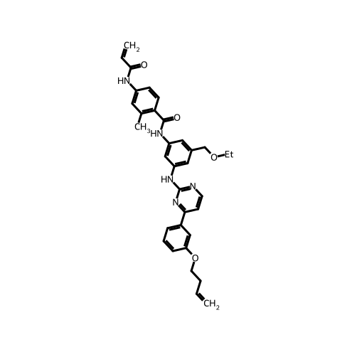 C=CCCOc1cccc(-c2ccnc(Nc3cc(COCC)cc(NC(=O)c4ccc(NC(=O)C=C)cc4C)c3)n2)c1